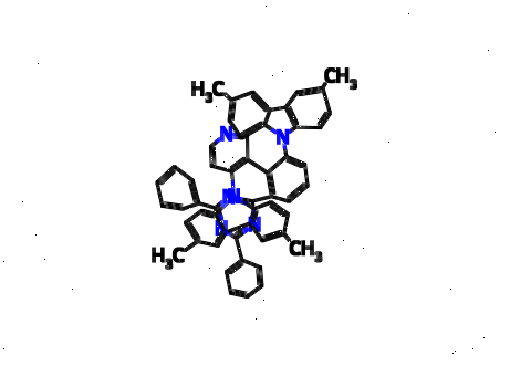 Cc1ccc2c(c1)c1cc(C)ccc1n2-c1ccncc1-c1c(-c2nc(-c3ccccc3)nc(-c3ccccc3)n2)cccc1-n1c2ccc(C)cc2c2cc(C)ccc21